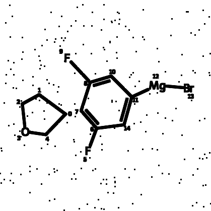 C1CCOC1.Fc1cc(F)c[c]([Mg][Br])c1